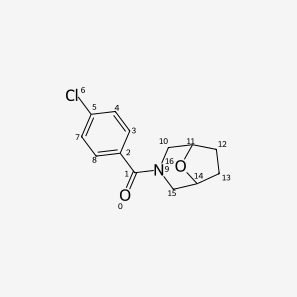 O=C(c1ccc(Cl)cc1)N1CC2CCC(C1)O2